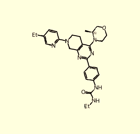 CCNC(=O)Nc1ccc(-c2nc3c(c(N4CCOC[C@@H]4C)n2)CCN(c2ccc(CC)cn2)C3)cc1